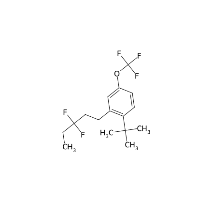 CCC(F)(F)CCc1cc(OC(F)(F)F)ccc1C(C)(C)C